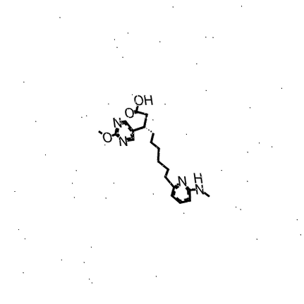 CNc1cccc(CCCCCC[C@@H](CC(=O)O)c2cnc(OC)nc2)n1